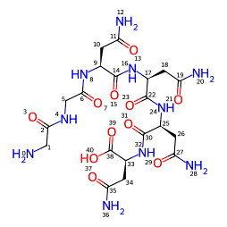 NCC(=O)NCC(=O)N[C@@H](CC(N)=O)C(=O)N[C@@H](CC(N)=O)C(=O)N[C@@H](CC(N)=O)C(=O)N[C@@H](CC(N)=O)C(=O)O